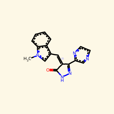 Cn1cc(/C=C2\C(=O)NN=C2c2cnccn2)c2ccccc21